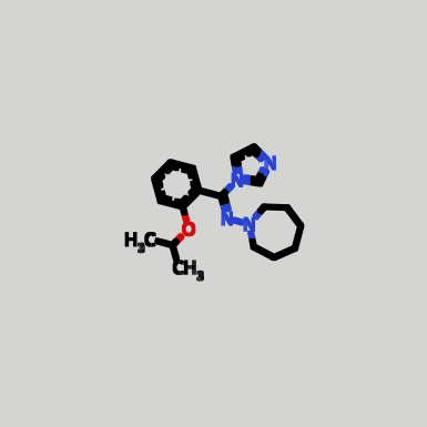 CC(C)Oc1ccccc1C(=NN1CCCCCC1)n1ccnc1